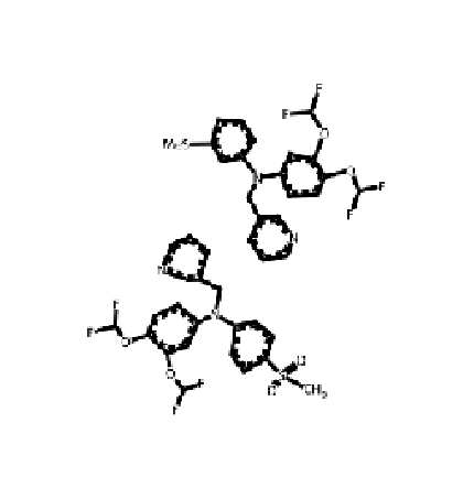 CS(=O)(=O)c1ccc(N(Cc2cccnc2)c2ccc(OC(F)F)c(OC(F)F)c2)cc1.CSc1cccc(N(Cc2cccnc2)c2ccc(OC(F)F)c(OC(F)F)c2)c1